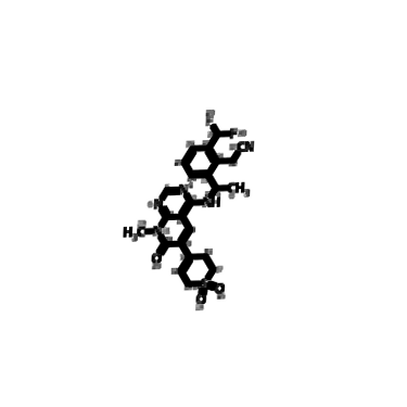 CC(Nc1ncnc2c1cc(C1=CCS(=O)(=O)CC1)c(=O)n2C)c1cccc(C(F)F)c1CC#N